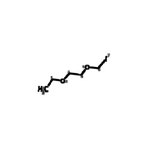 CCOCCOCI